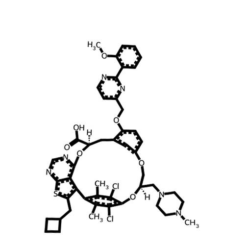 COc1ccccc1-c1nccc(COc2ccc3cc2C[C@H](C(=O)O)Oc2ncnc4sc(CC5CCC5)c(c24)-c2c(C)c(Cl)c(c(Cl)c2C)O[C@H](CN2CCN(C)CC2)CO3)n1